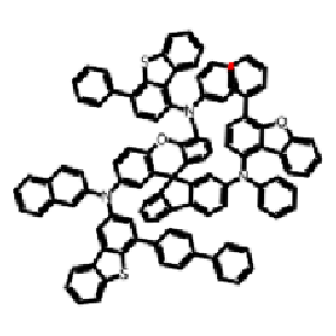 c1ccc(-c2ccc(-c3cc(N(c4ccc5c(c4)C4(c6ccccc6-c6ccc(N(c7ccccc7)c7ccc(-c8ccccc8)c8oc9ccccc9c78)cc64)c4cccc(N(c6ccccc6)c6ccc(-c7ccccc7)c7sc8ccccc8c67)c4O5)c4ccc5ccccc5c4)cc4c3sc3ccccc34)cc2)cc1